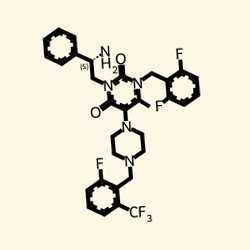 Cc1c(N2CCN(Cc3c(F)cccc3C(F)(F)F)CC2)c(=O)n(C[C@@H](N)c2ccccc2)c(=O)n1Cc1c(F)cccc1F